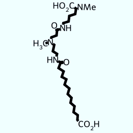 CN[C@@H](CCCCNC(=O)CCN(C)CCCNC(=O)CCCCCCCCCCCCCC(=O)O)C(=O)O